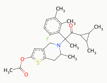 CC(=O)Oc1cc2c(s1)CC(C)N(C(C)(C(=O)C1C(C)C1C)c1c(F)ccc(C)c1C)C2